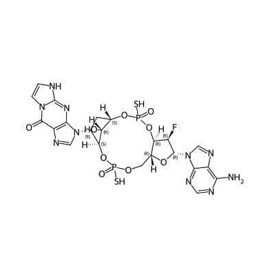 Nc1ncnc2c1ncn2[C@@H]1O[C@@H]2COP(=O)(S)O[C@@H]3[C@H](O)[C@H](C[C@H]3n3cnc4c(=O)n5cc[nH]c5nc43)OP(=O)(S)O[C@H]2[C@H]1F